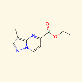 CCOC(=O)c1ccn2ncc(C)c2n1